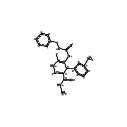 CC1=C(OC(=O)OCc2ccccc2)C(c2cccc([N+](=O)[O-])c2)C(C(=O)NN)=NN1